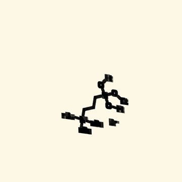 CCCC[N+](CCCC)(CCCC)CCC[Si](OCC)(OCC)OCC.[Br-]